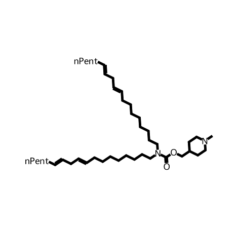 CCCCCC=CCC=CCCCCCCCCN(CCCCCCCCC=CCC=CCCCCC)C(=O)OCC1CCN(C)CC1